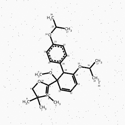 COC1(C2=[N+](C)C(C)(C)CO2)C=CC=C(OC(C)C)C1c1ccc(OC(C)C)cc1.[I-]